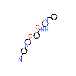 N#Cc1ccc(N2CCC(Oc3cccc(C(=O)NC4CCN(Cc5ccccc5)CC4)c3)CC2)cc1